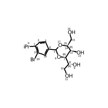 CC(C)c1ccc(C2O[C@H]([C@H](O)CO)[C@H](O)[C@H](CO)O2)cc1Br